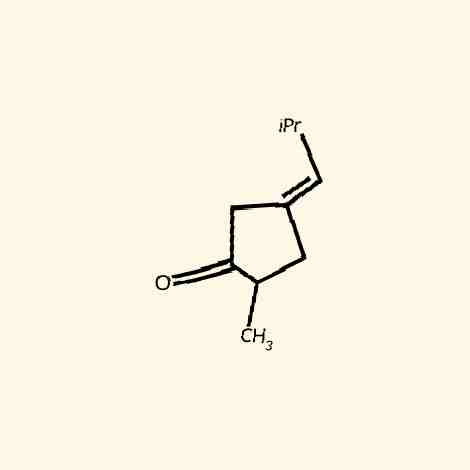 CC(C)/C=C1\CC(=O)C(C)C1